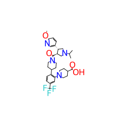 COc1ccc([C@@H]2CN(C(C)C)C[C@H]2C(=O)N2CCC(c3ccc(C(F)(F)F)cc3N3CCC(C(=O)O)CC3)CC2)cn1